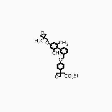 CCOC(=O)CC1(c2ccc(OCc3cccc(-c4c(C)cc(OCC5(C)COC5)cc4C)c3)cc2)COC1